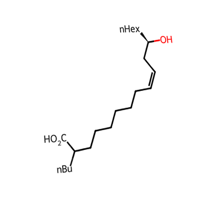 CCCCCC[C@@H](O)C/C=C\CCCCCCC(CCCC)C(=O)O